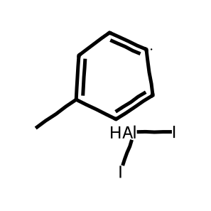 Cc1cc[c]cc1.[I][AlH][I]